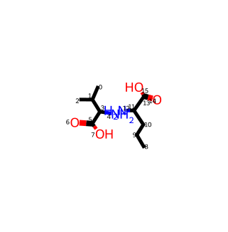 CC(C)C(N)C(=O)O.CCCC(N)C(=O)O